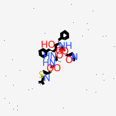 CC(C)c1nc(COC(=O)N[C@@H](C)C(=O)N[C@@H](Cc2ccccc2)C[C@H](O)[C@H](Cc2ccccc2)NC(=O)OCc2cnco2)cs1